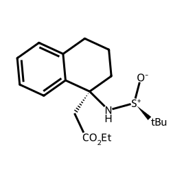 CCOC(=O)C[C@@]1(N[S@@+]([O-])C(C)(C)C)CCCc2ccccc21